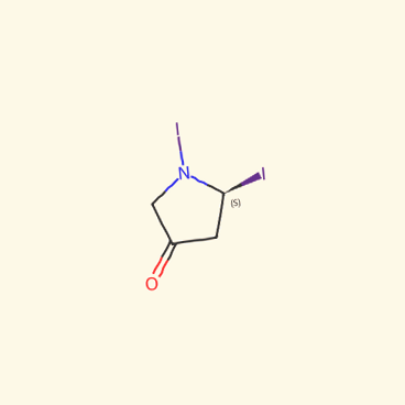 O=C1C[C@H](I)N(I)C1